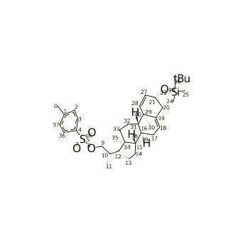 Cc1ccc(S(=O)(=O)OC[C@@H](C)[C@H]2CC[C@H]3[C@@H]4CC=C5C[C@@H](O[Si](C)(C)C(C)(C)C)C=C[C@]5(C)[C@H]4CC[C@]23C)cc1